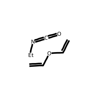 C=COC=C.CCN=C=O